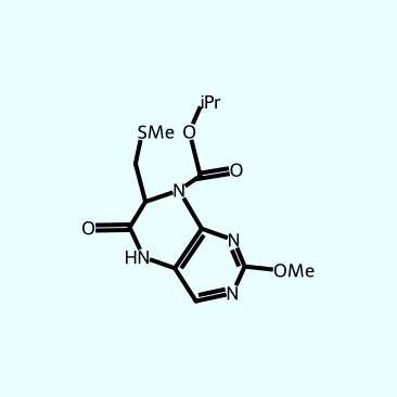 COc1ncc2c(n1)N(C(=O)OC(C)C)C(CSC)C(=O)N2